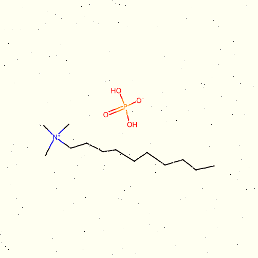 CCCCCCCCCC[N+](C)(C)C.O=P([O-])(O)O